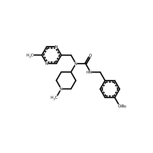 Cc1cnc(CN(C(=O)NCc2ccc(OCC(C)C)cc2)C2CCN(C)CC2)cn1